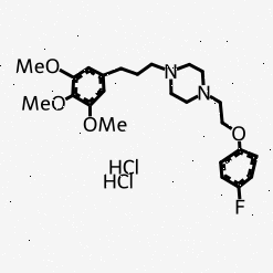 COc1cc(CCCN2CCN(CCOc3ccc(F)cc3)CC2)cc(OC)c1OC.Cl.Cl